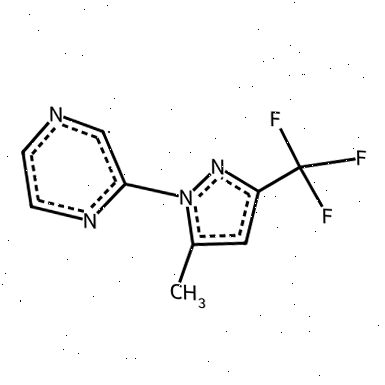 Cc1cc(C(F)(F)F)nn1-c1[c]nccn1